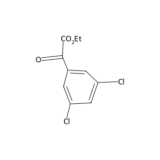 CCOC(=O)C(=O)c1cc(Cl)cc(Cl)c1